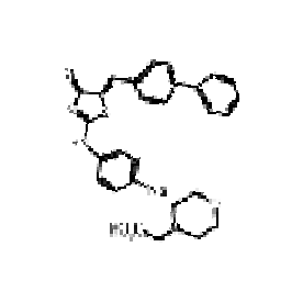 O=C(O)CN1CCOCC1.O=C1N=C(Nc2cc[c]([Na])cc2)SC1=Cc1ccc(-c2ccccc2)cc1